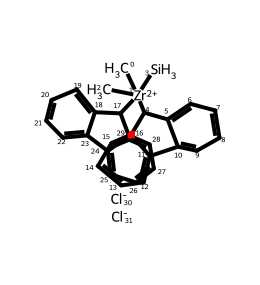 [CH3][Zr+2]([CH3])([SiH3])([CH]1c2ccccc2-c2ccccc21)[CH]1c2ccccc2-c2ccccc21.[Cl-].[Cl-]